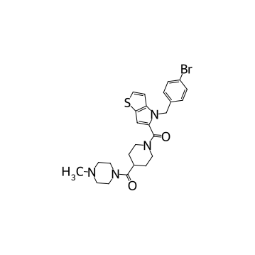 CN1CCN(C(=O)C2CCN(C(=O)c3cc4sccc4n3Cc3ccc(Br)cc3)CC2)CC1